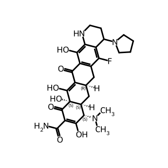 CN(C)[C@@H]1C(O)=C(C(N)=O)C(=O)[C@@]2(O)C(O)=C3C(=O)c4c(O)c5c(c(F)c4C[C@H]3C[C@@H]12)C(N1CCCC1)CCN5